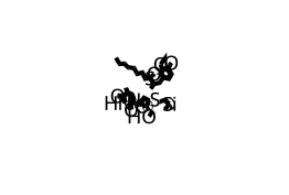 CCCCCCCC[S+]([O-])C(C)Cc1ccc2c(c1)OCO2.Cc1cn([C@H]2CC(SCC[Si](C)(C)C)[C@@H](CO)O2)c(=O)[nH]c1=O